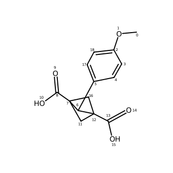 COc1ccc(C2C3(C(=O)O)CC2(C(=O)O)C3)cc1